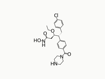 CCO[C@H](CC(=O)NO)[C@H](Cc1ccc(Cl)cc1)c1ccc(C(=O)N2CCNCC2)cc1